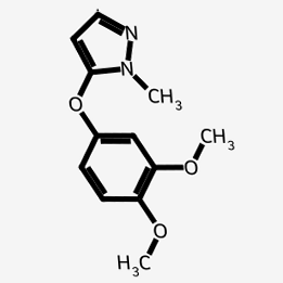 COc1ccc(Oc2c[c]nn2C)cc1OC